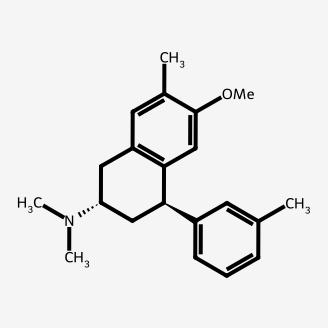 COc1cc2c(cc1C)C[C@@H](N(C)C)C[C@@H]2c1cccc(C)c1